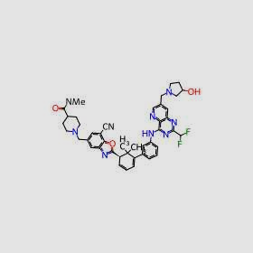 CNC(=O)C1CCN(Cc2cc(C#N)c3oc([C@@H]4C=CC=C(c5cccc(Nc6nc(C(F)F)nc7cc(CN8CCC(O)C8)cnc67)c5)C4(C)C)nc3c2)CC1